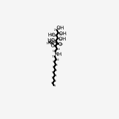 CCCCCCCCCCCCNCCC(ONC)C(=O)[C@H](O)[C@@H](O)[C@H](O)[C@H](O)CO